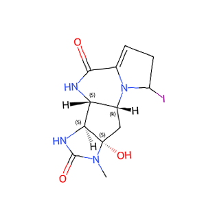 CN1C(=O)N[C@H]2[C@@H]3NC(=O)C4=CCC(I)N4[C@@H]3C[C@]21O